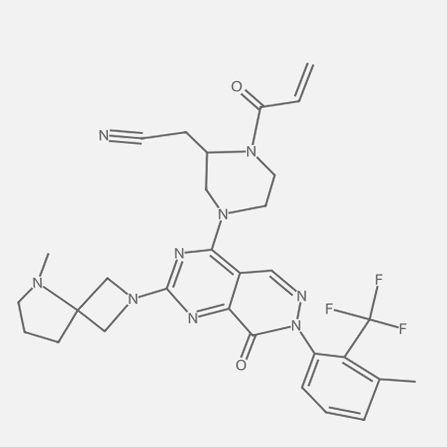 C=CC(=O)N1CCN(c2nc(N3CC4(CCCN4C)C3)nc3c(=O)n(-c4cccc(C)c4C(F)(F)F)ncc23)CC1CC#N